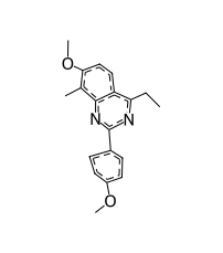 CCc1nc(-c2ccc(OC)cc2)nc2c(C)c(OC)ccc12